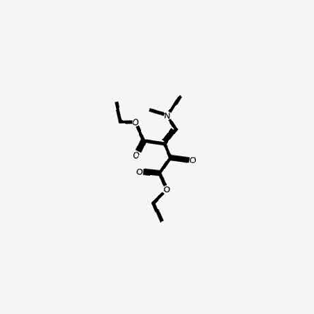 CCOC(=O)C(=O)C(=CN(C)C)C(=O)OCC